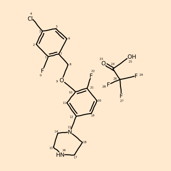 Fc1cc(Cl)ccc1COc1cc(N2CCNCC2)ccc1F.O=C(O)C(F)(F)F